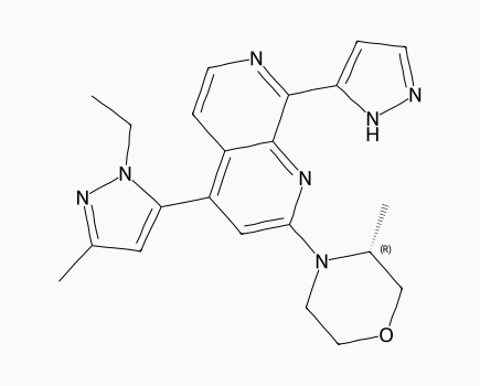 CCn1nc(C)cc1-c1cc(N2CCOC[C@H]2C)nc2c(-c3ccn[nH]3)nccc12